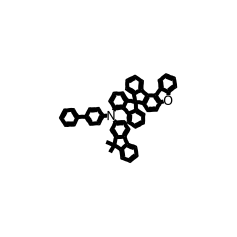 CC1(C)c2ccccc2-c2ccc(N(c3ccc(-c4ccccc4)cc3)c3cccc4c3-c3ccccc3C43c4ccccc4-c4c3ccc3oc5ccccc5c43)cc21